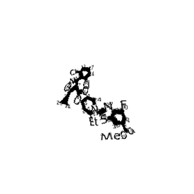 CC[C@@H]1C[C@H](OC(=O)c2c(-c3c(Cl)cccc3Cl)noc2C2CC2)CCN1c1nc2c(F)cc(C(=O)OC)cc2s1